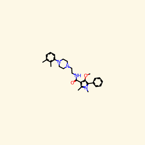 COc1c(C(=O)NCCN2CCN(c3cccc(C)c3C)CC2)c(C)n(C)c1-c1ccccc1